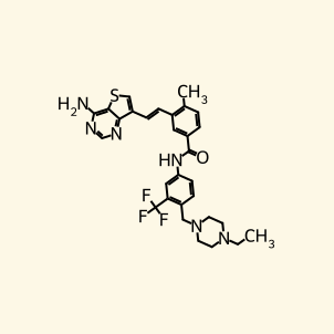 CCN1CCN(Cc2ccc(NC(=O)c3ccc(C)c(C=Cc4csc5c(N)ncnc45)c3)cc2C(F)(F)F)CC1